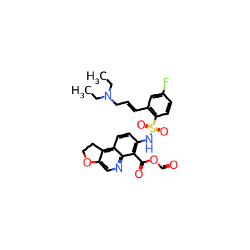 CCN(CC)CC=Cc1cc(F)ccc1S(=O)(=O)Nc1ccc2c3c(cnc2c1C(=O)OC=O)OCC3